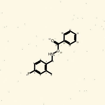 Cc1cc(F)ccc1CNOC(=O)c1ccccc1